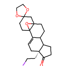 O=C1CCC2C3CCC45CC6(CCC4(O5)C3=CC[C@]12CCI)OCCO6